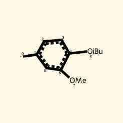 [CH2]c1ccc(OCC(C)C)c(OC)c1